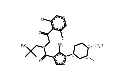 C[C@@H]1C[C@@H](n2ncc(C(=O)N(CC(=O)c3c(Cl)cncc3Cl)CC(C)(C)C(F)(F)F)c2C(F)(F)F)CC[C@@H]1C(=O)O